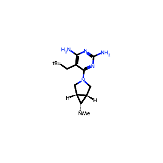 CN[C@@H]1[C@@H]2CN(c3nc(N)nc(N)c3CC(C)(C)C)C[C@@H]21